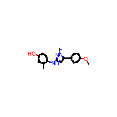 COc1ccc(-c2cc(Nc3ccc(O)cc3C)n[nH]2)cc1